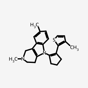 Cc1ccc2c(c1)c1c(n2C2=C(c3sccc3C)CCC2)CCN(C)C1